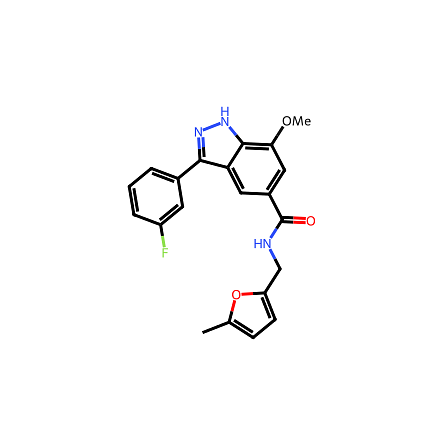 COc1cc(C(=O)NCc2ccc(C)o2)cc2c(-c3cccc(F)c3)n[nH]c12